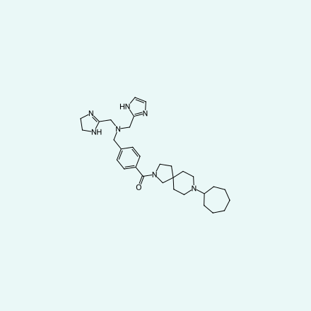 O=C(c1ccc(CN(CC2=NCCN2)Cc2ncc[nH]2)cc1)N1CCC2(CCN(C3CCCCCC3)CC2)C1